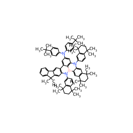 CC(C)(C)c1ccc(N(c2ccc(C(C)(C)C)cc2)c2cc3c4c(c2)N(c2ccc5c(c2)C(C)(C)CCC5(C)C)c2cc5c(cc2B4N(c2ccc4c(c2)C(C)(C)CCC4(C)C)c2cc4c(cc2-3)-c2ccccc2C4(C)C)C(C)(C)CCC5(C)C)cc1